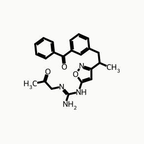 CC(=O)CN=C(N)Nc1cc(C(C)Cc2cccc(C(=O)c3ccccc3)c2)no1